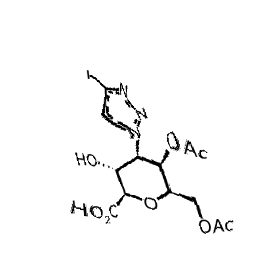 CC(=O)OC[C@H]1O[C@@H](C(=O)O)[C@H](O)[C@@H](n2cc(I)nn2)[C@H]1OC(C)=O